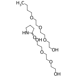 CCCCOCCOCCOCCO.O=C1CCCN1.OCCOCCOCCO